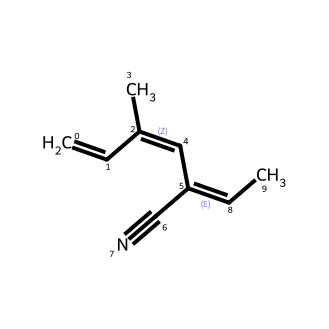 C=C/C(C)=C\C(C#N)=C/C